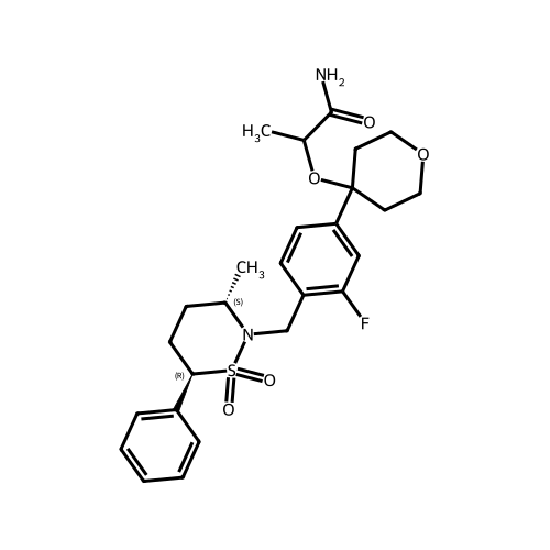 CC(OC1(c2ccc(CN3[C@@H](C)CC[C@H](c4ccccc4)S3(=O)=O)c(F)c2)CCOCC1)C(N)=O